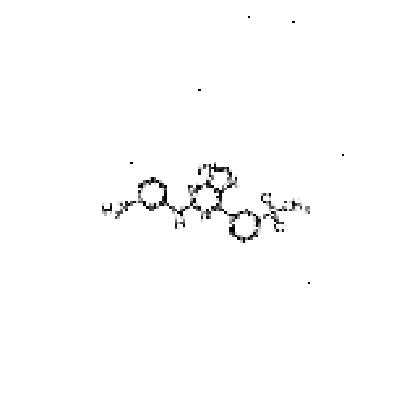 CS(=O)(=O)c1cccc(-c2nc(Nc3cccc(N)c3)nc3[nH]cnc23)c1